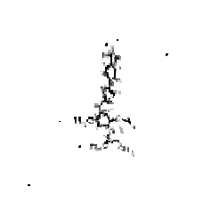 CCN(C)CNc1cc(C)c(Cc2nc(-c3ccc(C(F)(F)F)cc3)cs2)cc1C